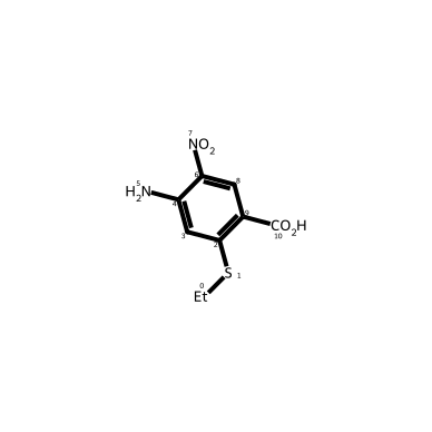 CCSc1cc(N)c([N+](=O)[O-])cc1C(=O)O